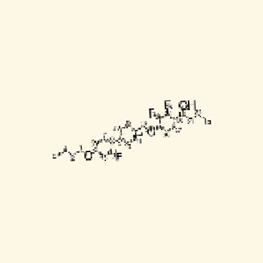 C=CCCOc1ccc(-c2ccc(COc3ccc(C(O)CCC)c(F)c3F)cc2)c(F)c1